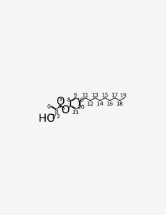 C=C(CO)C(=O)Oc1ccc(CCCCCCCCC)cc1